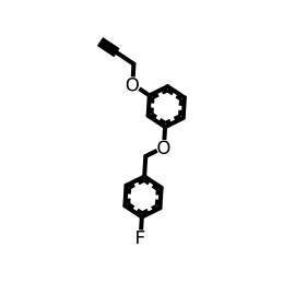 C#CCOc1cccc(OCc2ccc(F)cc2)c1